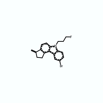 C=C1CCc2c1ccc1c2c2cc(Br)ccc2n1CCCF